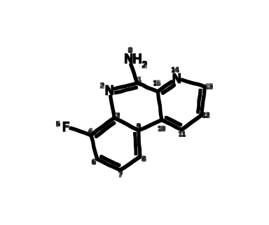 Nc1nc2c(F)cccc2c2cccnc12